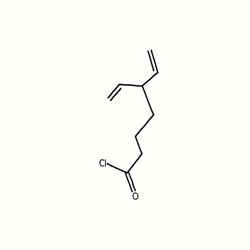 C=CC(C=C)CCCC(=O)Cl